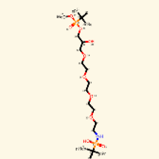 CCCCCCC(C)(CCC)P(=O)(O)NCCOCCOCCOCCOCC(O)COP(=O)(OOC)C(C)(CCC)CCCC